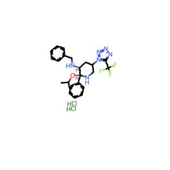 CC(C)O[C@]1(c2ccccc2)NCC(n2nnnc2C(F)(F)F)C[C@@H]1NCc1ccccc1.Cl.Cl